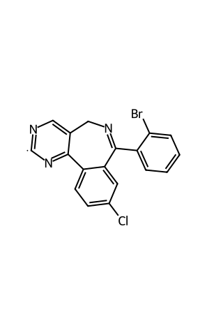 Clc1ccc2c(c1)C(c1ccccc1Br)=NCc1cn[c]nc1-2